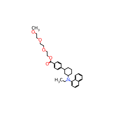 CCN(c1cccc2ccccc12)C1CCCC(c2ccc(C(=O)OCCOCCOCCOC)cc2)C1